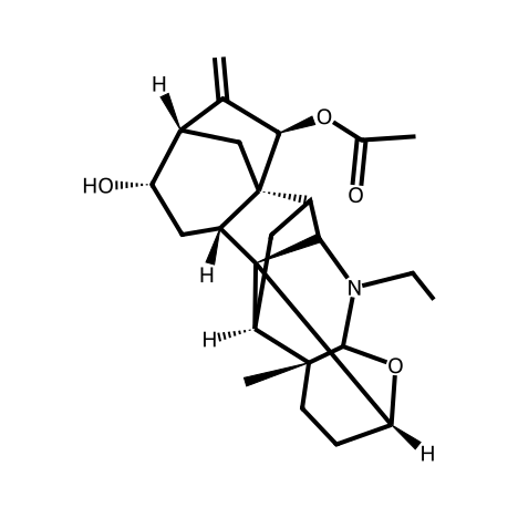 C=C1[C@@H](OC(C)=O)[C@]23C[C@@H]1[C@@H](O)C[C@H]2[C@@]12C4C3C[C@@H]1[C@@]1(C)CC[C@H]2OC1N4CC